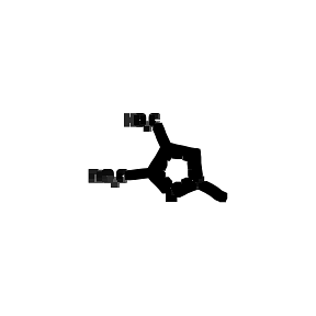 CCOC(=O)c1nn(C)cc1C(=O)O